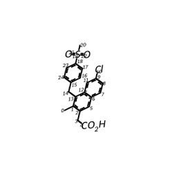 Cc1c(CC(=O)O)cc2ccc(Cl)cc2c1Cc1ccc(S(C)(=O)=O)cc1